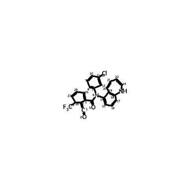 O=C=C1C(C(=O)N(c2cccc(Cl)c2)c2cccc3c2C=CC=CN3)=CC=CC1C(F)(F)F